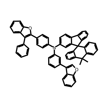 CC1(C)c2ccccc2C2(c3ccccc3-c3ccc(N(c4ccc(-c5oc6ccccc6c5-c5ccccc5)cc4)c4cccc(-c5coc6ccccc56)c4)cc32)c2ccccc21